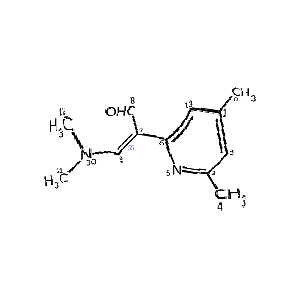 Cc1cc(C)nc(/C(C=O)=C/N(C)C)c1